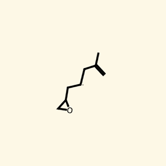 C=C(C)C[CH]CC1CO1